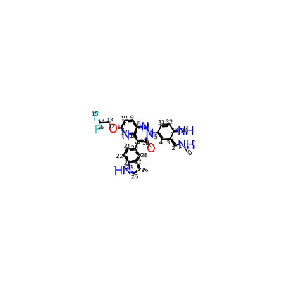 CN/C=C1/C=C(n2nc3ccc(OCC(F)F)nc3c(-c3ccc4[nH]ccc4c3)c2=O)C=CC1=N